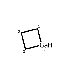 C1[CH2][GaH][CH2]1